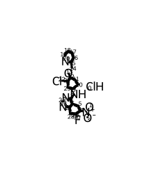 Cl.O=[N+]([O-])c1cc2c(Nc3ccc(OCc4ccccn4)c(Cl)c3)ncnc2cc1F